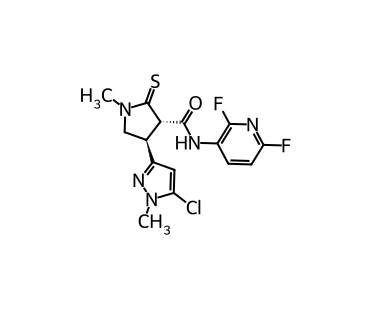 CN1C[C@H](c2cc(Cl)n(C)n2)[C@@H](C(=O)Nc2ccc(F)nc2F)C1=S